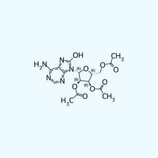 CC(=O)OC[C@H]1O[C@@H](n2c(O)nc3c(N)ncnc32)[C@H](OC(C)=O)[C@@H]1OC(C)=O